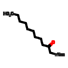 CCCCCCCCCCC(=O)CCCCCCCCC(=O)O